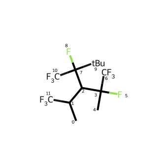 CC(C(C(C)(F)C(F)(F)F)C(F)(C(C)(C)C)C(F)(F)F)C(F)(F)F